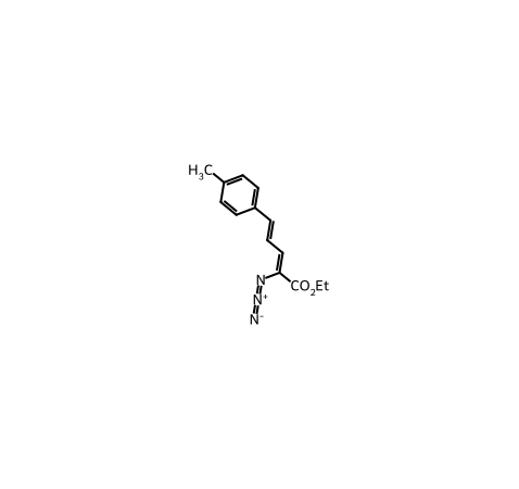 CCOC(=O)/C(=C/C=C/c1ccc(C)cc1)N=[N+]=[N-]